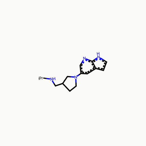 CC(C)NCC1CCN(c2cnc3[nH]ccc3c2)C1